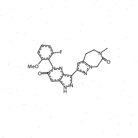 COc1cccc(F)c1-n1nc2c(-c3cc4n(n3)CC(=O)N(C)CC4)n[nH]c2cc1=O